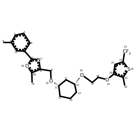 Cc1cccc(-c2nc(CO[C@H]3CCC[C@@H](OCCOc4cc(C(F)(F)F)sc4C)C3)c(C)o2)c1